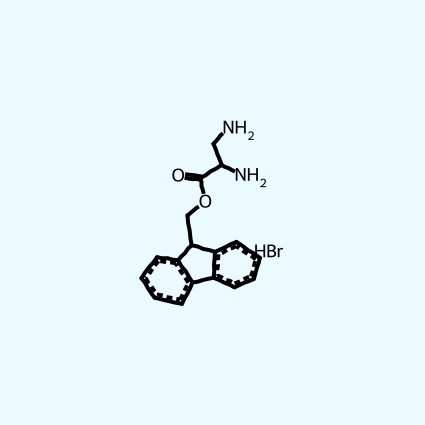 Br.NCC(N)C(=O)OCC1c2ccccc2-c2ccccc21